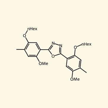 CCCCCCOc1cc(-c2nnc(-c3cc(OC)c(C)cc3OCCCCCC)o2)c(OC)cc1C